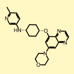 Cc1ccc(N[C@H]2CC[C@@H](Oc3cc(N4CCOCC4)cc4nccnc34)CC2)cn1